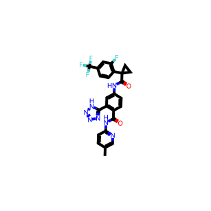 Cc1ccc(NC(=O)c2ccc(NC(=O)C3(c4ccc(C(F)(F)F)cc4F)CC3)cc2-c2nnn[nH]2)nc1